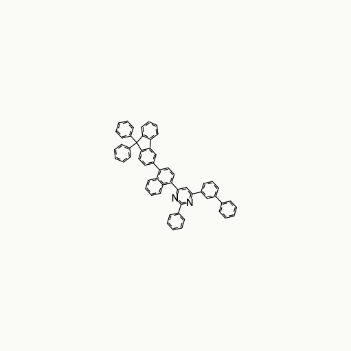 c1ccc(-c2cccc(-c3cc(-c4ccc(-c5ccc6c(c5)-c5ccccc5C6(c5ccccc5)c5ccccc5)c5ccccc45)nc(-c4ccccc4)n3)c2)cc1